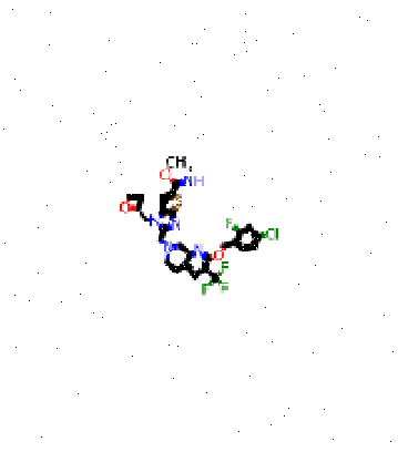 COC(=N)c1cc2c(nc(CN3CCc4cc(C(F)(F)F)c(OCc5ccc(Cl)cc5F)nc4C3)n2C[C@@H]2CCO2)s1